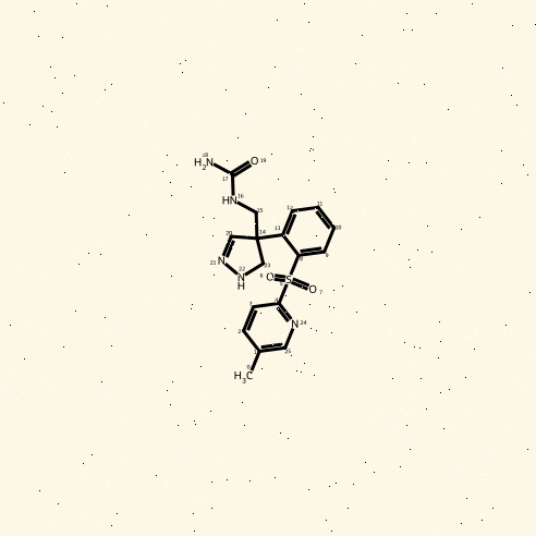 Cc1ccc(S(=O)(=O)c2ccccc2C2(CNC(N)=O)C=NNC2)nc1